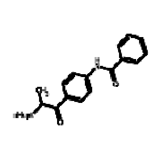 CCCCCCCC(C)C(=O)c1ccc(NC(=O)c2ccccc2)cc1